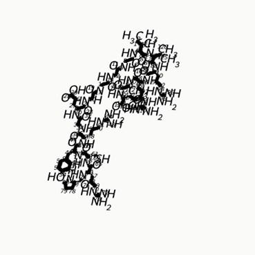 CC[C@H](C)[C@H](NC(=O)CNC(=O)CNC(=O)CNC(=O)CNC(=O)[C@H](CCC(=O)O)NC(=O)CNC(=O)[C@H](CCCNC(=N)N)NC(=O)[C@H](Cc1ccc(O)cc1)NC(=O)[C@H](CS)NC(=O)[C@H](CCCNC(=N)N)NC(=O)[C@@H]1CCCN1)C(=O)N[C@H](C(=O)N[C@@H](CCCNC(=N)N)C(=O)N[C@@H](CCCNC(=N)N)C(=O)N[C@@H](C)C(=O)N[C@@H](CC(=O)O)C(=O)O)C(C)C